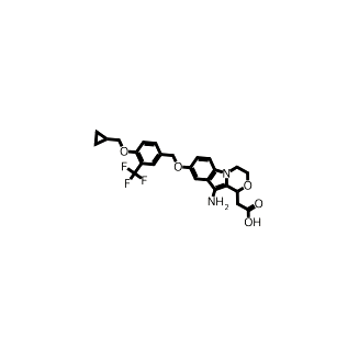 Nc1c2n(c3ccc(OCc4ccc(OCC5CC5)c(C(F)(F)F)c4)cc13)CCOC2CC(=O)O